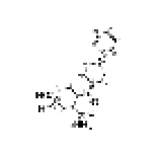 NC(=O)C1CC(O)(O)CCC1C(=O)N1CC=C(c2ccccc2)CC1